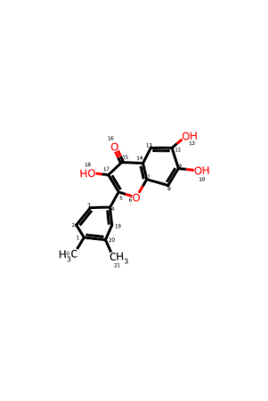 Cc1ccc(-c2oc3cc(O)c(O)cc3c(=O)c2O)cc1C